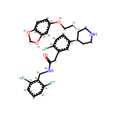 O=C(Cc1cc([C@@H]2CCNC[C@H]2CCOc2ccc3c(c2)OCO3)ccc1F)NCc1c(F)cccc1F